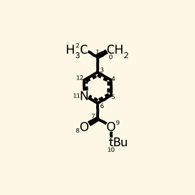 C=C(C)c1ccc(C(=O)OC(C)(C)C)nc1